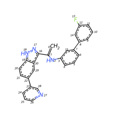 C=C(Nc1cccc(-c2cccc(F)c2)c1)c1n[nH]c2ccc(-c3cccnc3)cc12